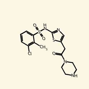 Cc1c(Cl)cccc1S(=O)(=O)Nc1ncc(CC(=O)N2CCNCC2)s1